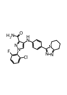 NC(=O)c1nn(-c2c(F)cccc2Cl)cc1Nc1ccc(-c2nnc3n2CCCC3)cc1